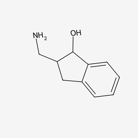 NCC1Cc2ccccc2C1O